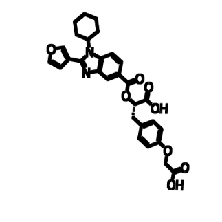 O=C(O)COc1ccc(C[C@H](OC(=O)c2ccc3c(c2)nc(-c2ccoc2)n3C2CCCCC2)C(=O)O)cc1